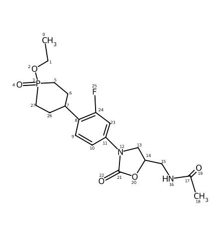 CCOP1(=O)CCC(c2ccc(N3CC(CNC(C)=O)OC3=O)cc2F)CC1